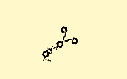 COc1ccc2nc(N=Nc3ccc(N(CC[n+]4ccccc4)CC[n+]4ccccc4)cc3)sc2c1